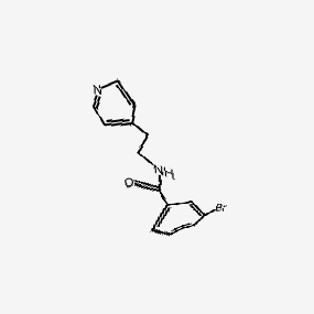 O=C(NCCc1ccncc1)c1cccc(Br)c1